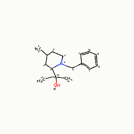 [CH2]C1CCN(Cc2ccccc2)C(C(C)(C)O)C1